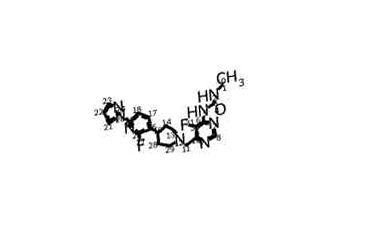 CCNC(=O)Nc1ncnc(CN2CCC(c3ccc(-n4cccn4)nc3F)CC2)c1F